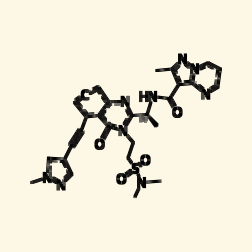 Cc1nn2cccnc2c1C(=O)N[C@@H](C)c1nc2cccc(C#Cc3cnn(C)c3)c2c(=O)n1CCS(=O)(=O)N(C)C